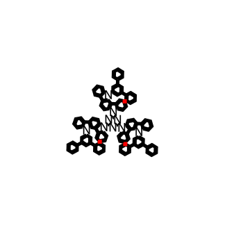 c1ccc(-c2cc(-c3ccccc3)cc(-n3c4ccccc4c4ccc5c(c6ccccc6n5-c5nc(-n6c7ccccc7c7c6ccc6c8ccccc8n(-c8cc(-c9ccccc9)cc(-c9ccccc9)c8)c67)nc(-n6c7ccccc7c7c6ccc6c8ccccc8n(-c8cc(-c9ccccc9)cc(-c9ccccc9)c8)c67)n5)c43)c2)cc1